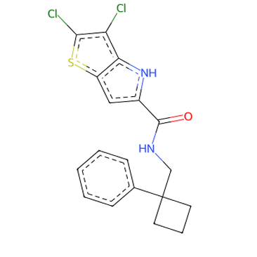 O=C(NCC1(c2ccccc2)CCC1)c1cc2sc(Cl)c(Cl)c2[nH]1